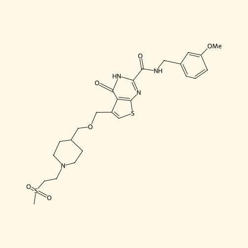 COc1cccc(CNC(=O)c2nc3scc(COCC4CCN(CCS(C)(=O)=O)CC4)c3c(=O)[nH]2)c1